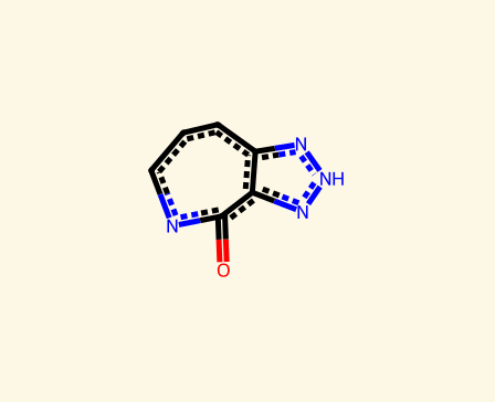 O=c1ncccc2n[nH]nc12